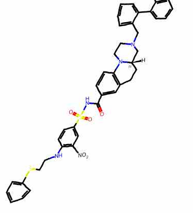 COc1cccc(-c2ccccc2CN2CCN3c4ccc(C(=O)NS(=O)(=O)c5ccc(NCCSc6ccccc6)c([N+](=O)[O-])c5)cc4CC[C@H]3C2)c1OC